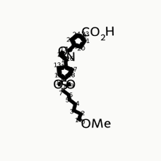 COCCCCCCCS(=O)(=O)c1ccc(-c2coc(-c3ccc(C(=O)O)cc3)n2)cc1